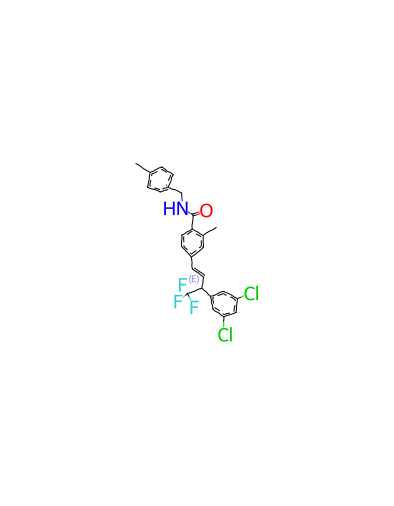 Cc1ccc(CNC(=O)c2ccc(/C=C/C(c3cc(Cl)cc(Cl)c3)C(F)(F)F)cc2C)cc1